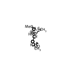 COc1cccc(S(=O)(=O)Nc2cc(-c3ccc4ncc5c(c4c3)C3(CC3)C(=O)N5C)cnc2OCCCN(C)C)c1